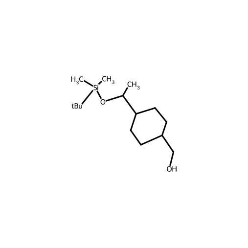 CC(O[Si](C)(C)C(C)(C)C)C1CCC(CO)CC1